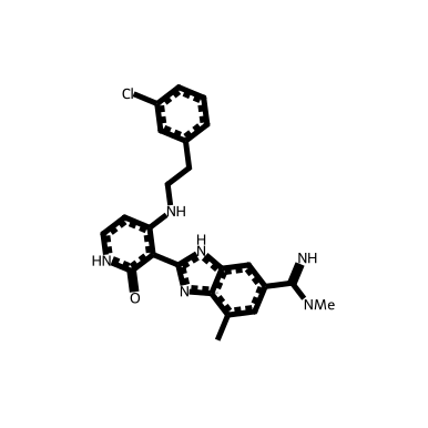 CNC(=N)c1cc(C)c2nc(-c3c(NCCc4cccc(Cl)c4)cc[nH]c3=O)[nH]c2c1